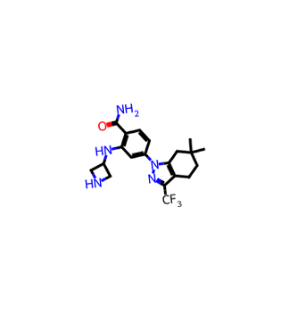 CC1(C)CCc2c(C(F)(F)F)nn(-c3ccc(C(N)=O)c(NC4CNC4)c3)c2C1